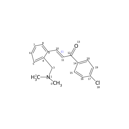 CN(C)Cc1ccccc1/C=C/C(=O)c1ccc(Cl)cc1